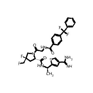 C[C@@H](NC(=O)[C@@H]1C[C@](F)(CF)CN1C(=O)CNC(=O)c1ccc(C(F)(F)c2ccccc2)cc1)c1cc(C(=N)N)cs1